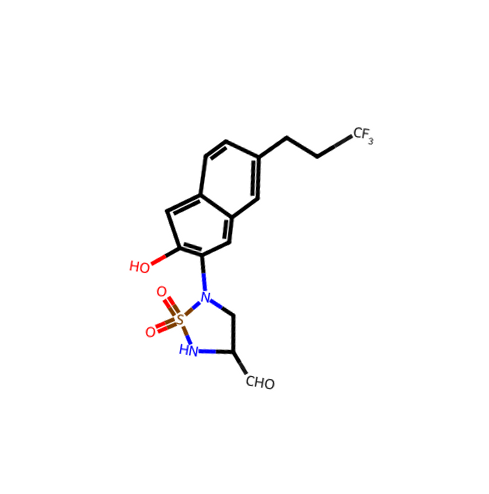 O=CC1CN(c2cc3cc(CCC(F)(F)F)ccc3cc2O)S(=O)(=O)N1